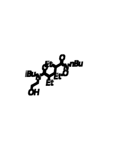 CCCCN(OCC)C(=O)C(CC)CC(CC)C(=O)N(CCO)C(C)CC